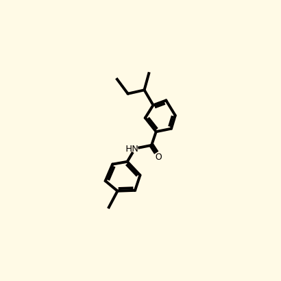 CCC(C)c1cccc(C(=O)Nc2ccc(C)cc2)c1